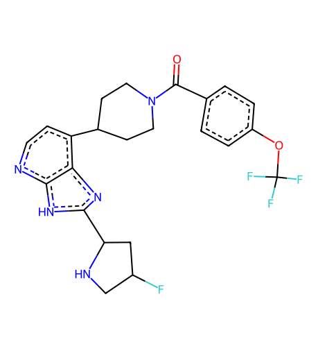 O=C(c1ccc(OC(F)(F)F)cc1)N1CCC(c2ccnc3[nH]c(C4CC(F)CN4)nc23)CC1